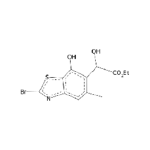 CCOC(=O)C(O)c1c(C)cc2nc(Br)sc2c1O